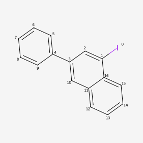 Ic1cc(-c2ccccc2)cc2ccccc12